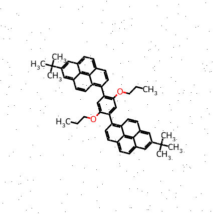 CCCOc1cc(-c2ccc3ccc4cc(C(C)(C)C)cc5ccc2c3c45)c(OCCC)cc1-c1ccc2ccc3cc(C(C)(C)C)cc4ccc1c2c34